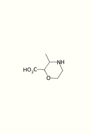 CC1NCCO[C]1C(=O)O